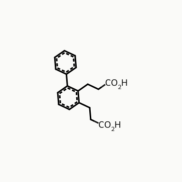 O=C(O)CCc1cccc(-c2ccccc2)c1CCC(=O)O